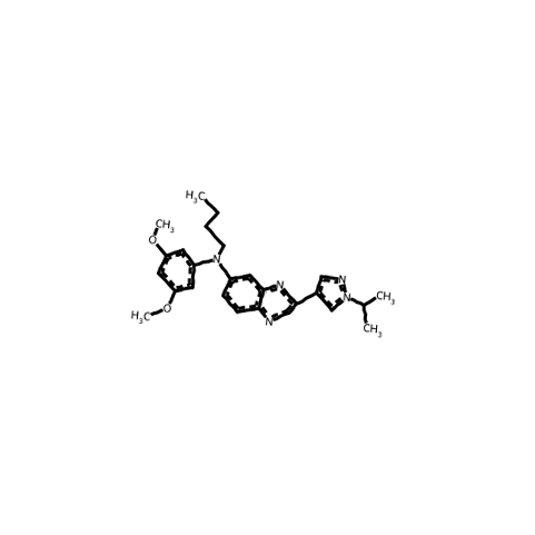 CCCCN(c1cc(OC)cc(OC)c1)c1ccc2ncc(-c3cnn(C(C)C)c3)nc2c1